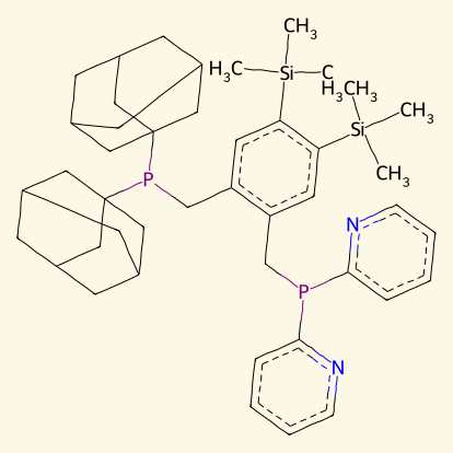 C[Si](C)(C)c1cc(CP(c2ccccn2)c2ccccn2)c(CP(C23CC4CC(CC(C4)C2)C3)C23CC4CC(CC(C4)C2)C3)cc1[Si](C)(C)C